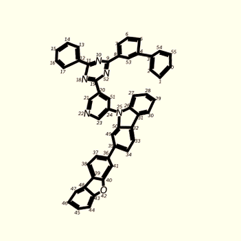 c1ccc(-c2cccc(-c3nc(-c4ccccc4)nc(-c4cncc(-n5c6ccccc6c6ccc(-c7ccc8c(c7)oc7ccccc78)cc65)c4)n3)c2)cc1